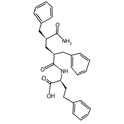 NC(=O)[C@H](Cc1ccccc1)C[C@@H](Cc1ccccc1)C(=O)N[C@@H](CCc1ccccc1)C(=O)O